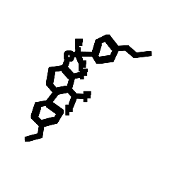 CCCc1ccc(C(F)(F)Oc2ccc(-c3ccc(CC)cc3)c(C(F)F)c2F)cc1